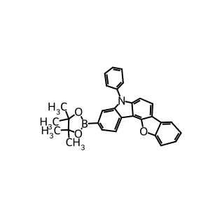 CC1(C)OB(c2ccc3c4c5oc6ccccc6c5ccc4n(-c4ccccc4)c3c2)OC1(C)C